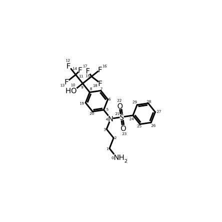 NCCCN(c1ccc(C(O)(C(F)(F)F)C(F)(F)F)cc1)S(=O)(=O)c1ccccc1